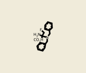 NC(CF)(C(=O)O)N(Cc1ccccc1)Cc1ccccc1